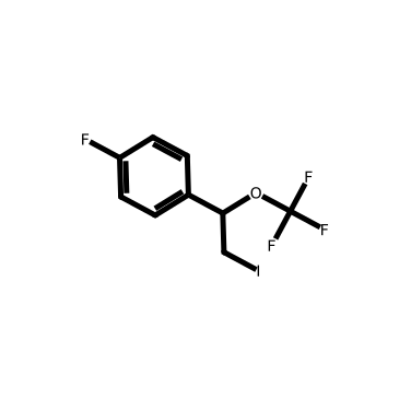 Fc1ccc(C(CI)OC(F)(F)F)cc1